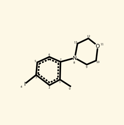 Cc1cc(I)ccc1N1CCOCC1